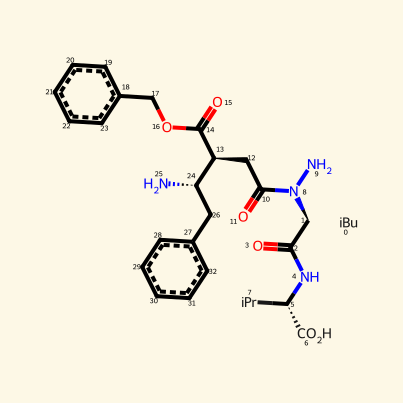 CC[C@H](C)[C@@H](C(=O)N[C@H](C(=O)O)C(C)C)N(N)C(=O)C[C@H](C(=O)OCc1ccccc1)[C@@H](N)Cc1ccccc1